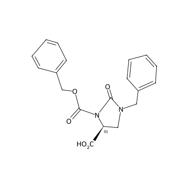 O=C(O)[C@@H]1CN(Cc2ccccc2)C(=O)N1C(=O)OCc1ccccc1